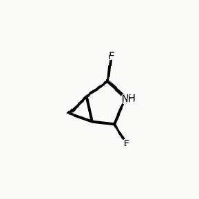 FC1NC(F)C2CC12